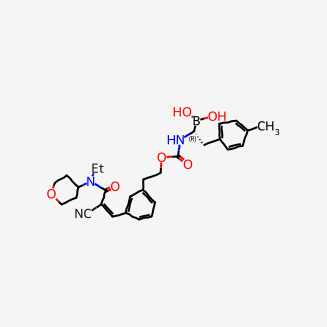 CCN(C(=O)C(C#N)=Cc1cccc(CCOC(=O)N[C@@H](Cc2ccc(C)cc2)B(O)O)c1)C1CCOCC1